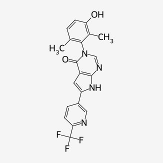 Cc1ccc(O)c(C)c1-n1cnc2[nH]c(-c3ccc(C(F)(F)F)nc3)cc2c1=O